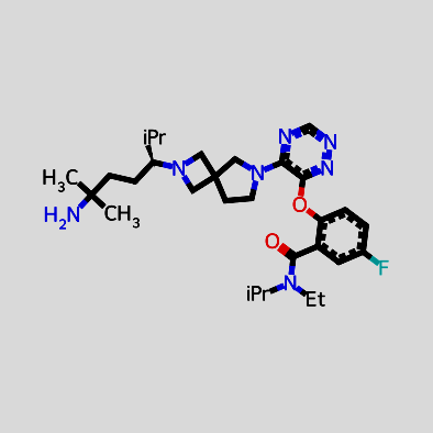 CCN(C(=O)c1cc(F)ccc1Oc1nncnc1N1CCC2(C1)CN([C@@H](CCC(C)(C)N)C(C)C)C2)C(C)C